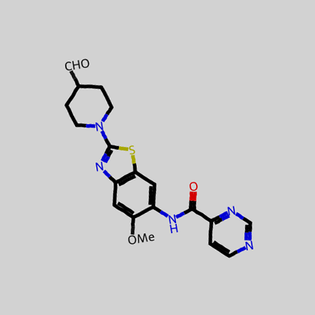 COc1cc2nc(N3CCC(C=O)CC3)sc2cc1NC(=O)c1ccncn1